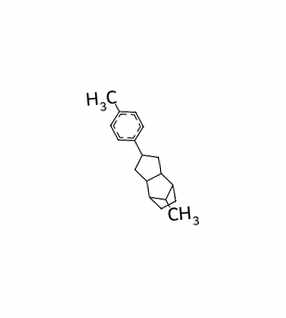 Cc1ccc(C2CC3C4CCC(C4C)C3C2)cc1